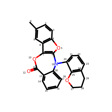 Cc1ccc2oc3c(c2c1)OC(=O)c1ccccc1N3c1cccc2c1OCCC2